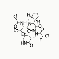 CCC(CC)C(NC(=O)C1CC1)C(=O)N1C[C@@H]2CCC[C@@H]2[C@H]1C(=O)NN(C[C@H]1CCCNC1=O)C(=O)C(F)Cl